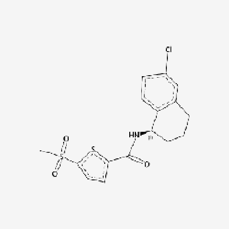 CS(=O)(=O)c1ccc(C(=O)N[C@@H]2CCCc3cc(Cl)ccc32)s1